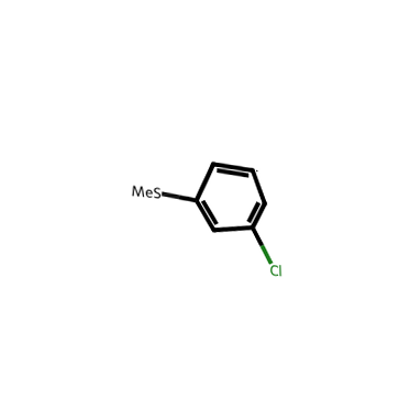 CSc1c[c]cc(Cl)c1